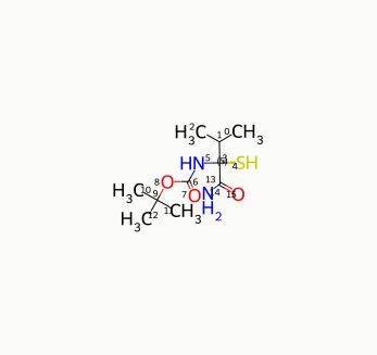 CC(C)[C@@](S)(NC(=O)OC(C)(C)C)C(N)=O